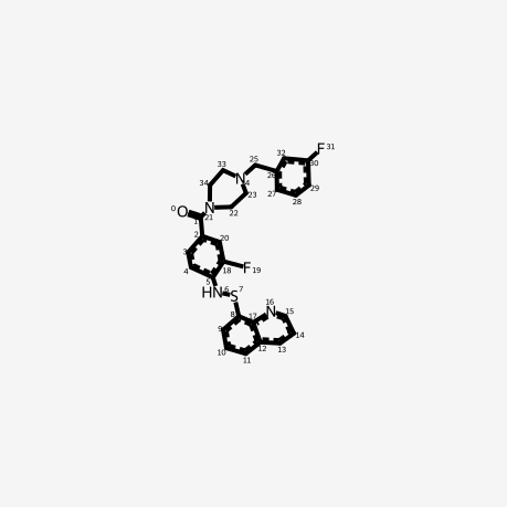 O=C(c1ccc(NSc2cccc3cccnc23)c(F)c1)N1CCN(Cc2cccc(F)c2)CC1